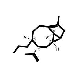 C=C(C)[C@H]1C[C@@H]2C3CC(C)=C(CC[C@]1(C)CCC)[C@@]32C